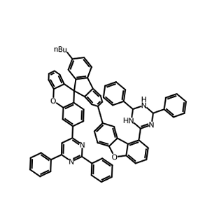 CCCCc1ccc2c(c1)C1(c3ccccc3Oc3cc(-c4cc(-c5ccccc5)nc(-c5ccccc5)n4)ccc31)c1cc(-c3ccc4oc5cccc(C6=NC(c7ccccc7)NC(c7ccccc7)N6)c5c4c3)ccc1-2